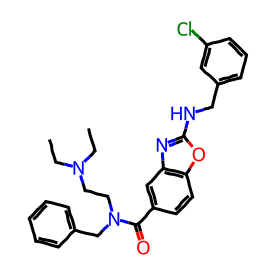 CCN(CC)CCN(Cc1ccccc1)C(=O)c1ccc2oc(NCc3cccc(Cl)c3)nc2c1